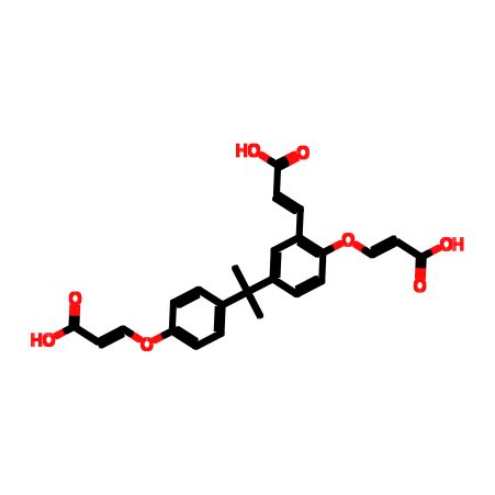 CC(C)(c1ccc(OC=CC(=O)O)cc1)c1ccc(OC=CC(=O)O)c(C=CC(=O)O)c1